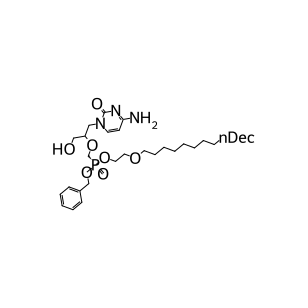 CCCCCCCCCCCCCCCCCCOCCO[P@@](=O)(COC(CO)Cn1ccc(N)nc1=O)OCc1ccccc1